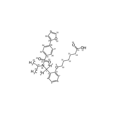 [2H]C([2H])(c1ccccc1OCCCCCC(=O)O)N(C(C)C)S(=O)(=O)c1ccc(-c2ccco2)cc1